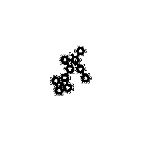 C=C1C(c2ccccc2)=CC(c2ccc(-c3ccccc3)cc2)=NC1c1ccccc1-c1cccc(-c2ccc3c(c2)-c2ccccc2C32c3ccccc3-c3ccccc32)c1